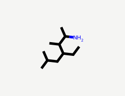 CCC(CC(C)C)C(C)C(C)N